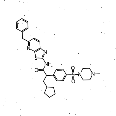 CN1CCN(S(=O)(=O)c2ccc(C(CC3CCCC3)C(=O)Nc3nc4ccc(Cc5ccccc5)nc4s3)cc2)CC1